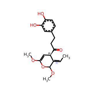 C/C=C1/C(OC)OC(OC)=C[C@H]1C(=O)CCc1ccc(O)c(O)c1